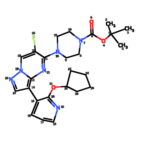 CC(C)(C)OC(=O)N1CCN(c2nc3c(-c4cccnc4OC4CCCC4)cnn3cc2F)CC1